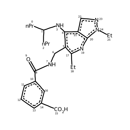 CCCC(CCC)Nc1c(CNC(=O)c2cccc(C(=O)O)c2)c(CC)nc2c1cnn2CC